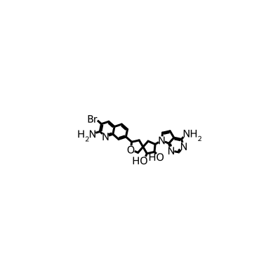 Nc1nc2cc(C3CC4(CO3)CC(n3ccc5c(N)ncnc53)C(O)C4O)ccc2cc1Br